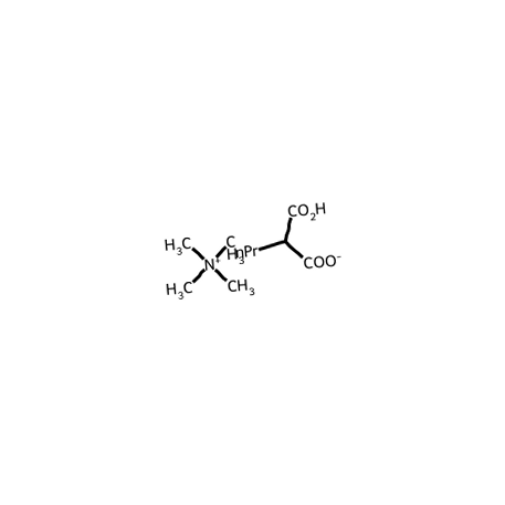 CCCC(C(=O)[O-])C(=O)O.C[N+](C)(C)C